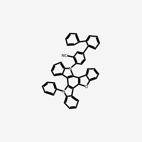 N#Cc1cc(-c2ccccc2-c2ccccc2)ccc1-n1c2ccccc2c2c3c(c4ccccc4n3-c3ccccc3)c3oc4ccccc4c3c21